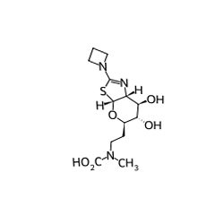 CN(CC[C@H]1O[C@@H]2SC(N3CCC3)=N[C@@H]2[C@@H](O)[C@@H]1O)C(=O)O